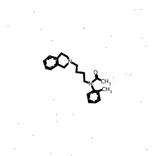 CC(=O)N(CCCCN1CCc2ccccc2C1)c1ccccc1C